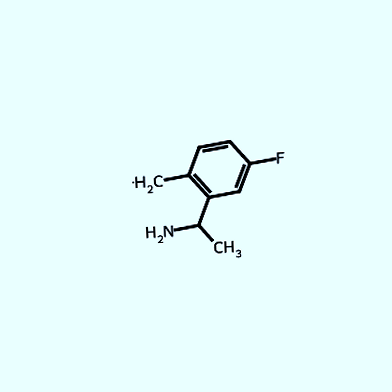 [CH2]c1ccc(F)cc1C(C)N